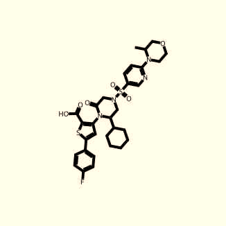 CC1COCCN1c1ccc(S(=O)(=O)N2CC(=O)N(c3cc(-c4ccc(F)cc4)sc3C(=O)O)C(C3CCCCC3)C2)cn1